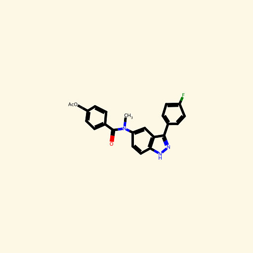 CC(=O)Oc1ccc(C(=O)N(C)c2ccc3[nH]nc(-c4ccc(F)cc4)c3c2)cc1